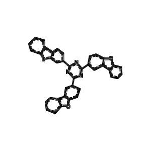 c1ccc2c(c1)oc1ccc(-c3nc(-c4ccc5c(c4)sc4ccccc45)nc(-c4ccc5oc6ccccc6c5c4)n3)cc12